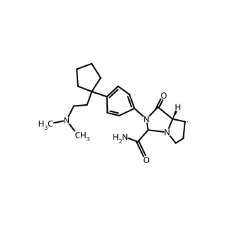 CN(C)CCC1(c2ccc(N3C(=O)[C@@H]4[CH]CCN4C3C(N)=O)cc2)CCCC1